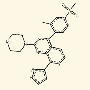 Cc1cc(S(C)(=O)=O)ncc1-c1cc(N2CCOCC2)nc2c(-c3ccn[nH]3)nccc12